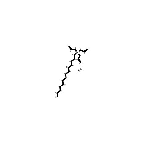 C=CC[N+](CC=C)(CC=C)CCCCCCCCCCCCCC.[Br-]